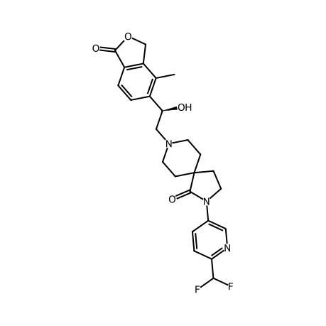 Cc1c([C@@H](O)CN2CCC3(CC2)CCN(c2ccc(C(F)F)nc2)C3=O)ccc2c1COC2=O